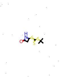 CC(C)(C)SC(=S)SC1CC(=O)N1